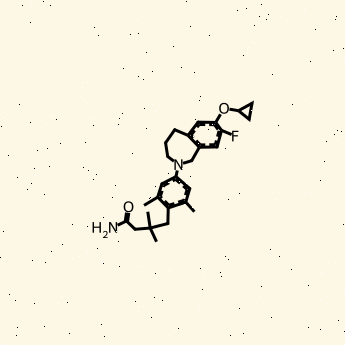 Cc1cc(N2CCCc3cc(OC4CC4)c(F)cc3C2)cc(C)c1CC(C)(C)CC(N)=O